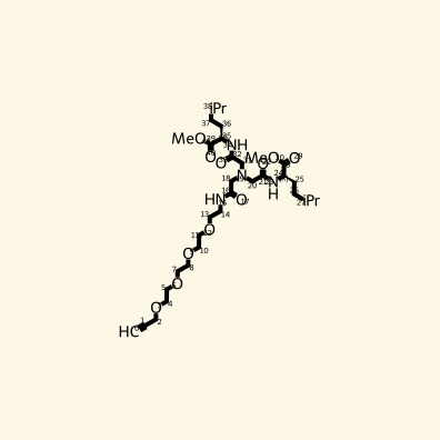 C#CCOCCOCCOCCOCCNC(=O)CN(CC(=O)N[C@H](CCC(C)C)C(=O)OC)CC(=O)N[C@H](CCC(C)C)C(=O)OC